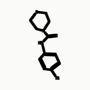 CCc1ccc(NC(=O)N2CCSCC2)cc1